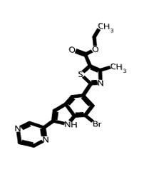 CCOC(=O)c1sc(-c2cc(Br)c3[nH]c(-c4cnccn4)cc3c2)nc1C